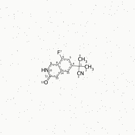 CC(C)(C#N)c1cc(F)c2c[nH]c(=O)cc2c1